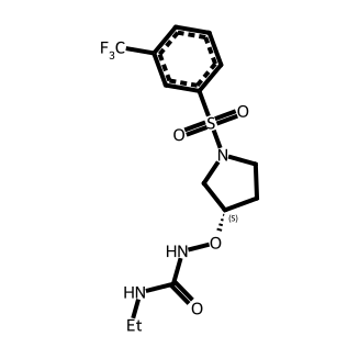 CCNC(=O)NO[C@H]1CCN(S(=O)(=O)c2cccc(C(F)(F)F)c2)C1